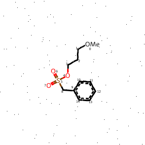 COCCCOS(=O)(=O)Cc1ccccc1